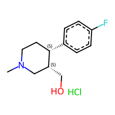 CN1CC[C@H](c2ccc(F)cc2)[C@H](CO)C1.Cl